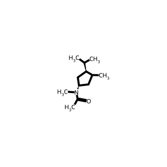 CC(=O)N(C)[C@H]1CC(C)[C@H](C(C)C)C1